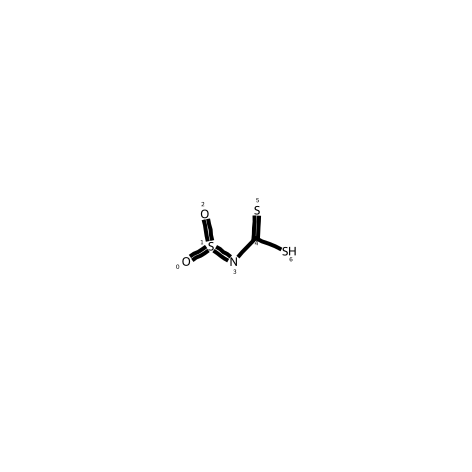 O=S(=O)=NC(=S)S